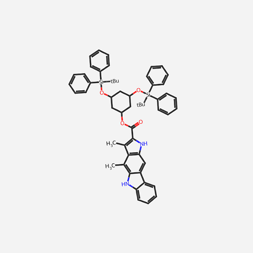 Cc1c(C(=O)OC2CC(O[Si](c3ccccc3)(c3ccccc3)C(C)(C)C)CC(O[Si](c3ccccc3)(c3ccccc3)C(C)(C)C)C2)[nH]c2cc3c([nH]c4ccccc43)c(C)c12